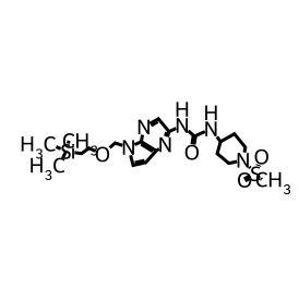 C[Si](C)(C)CCOCn1ccc2nc(NC(=O)NC3CCN(S(C)(=O)=O)CC3)cnc21